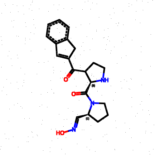 O=C(C1=Cc2ccccc2C1)C1CCN[C@H]1C(=O)N1CCC[C@H]1C=NO